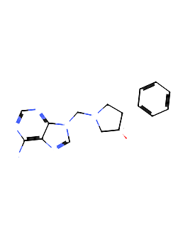 Nc1ncnc2c1ncn2CN1C[C@H](c2ccccc2)[C@@H](O)C1